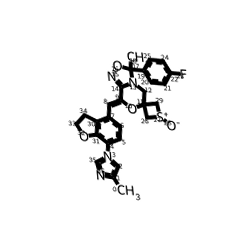 Cc1cn(-c2ccc(/C=C3\OC4(CN5C3=NOC5(C)c3ccc(F)cc3)C[S+]([O-])C4)c3c2OCC3)cn1